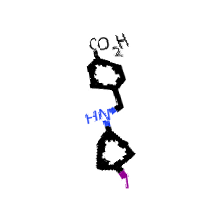 O=C(O)c1ccc(CNc2ccc(I)cc2)cc1